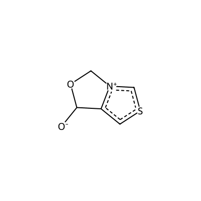 [O-]C1OC[n+]2cscc21